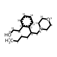 CCCCC(CN1CCOCC1)c1[c]cccc1CCO